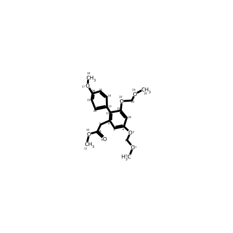 COCOc1cc(CC(=O)OC)c(-c2ccc(OC)cc2)c(OCOC)c1